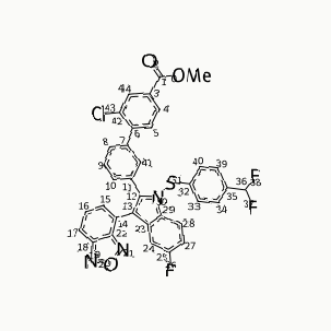 COC(=O)c1ccc(-c2cccc(-c3c(-c4cccc5nonc45)c4cc(F)ccc4n3Sc3ccc(C(F)F)cc3)c2)c(Cl)c1